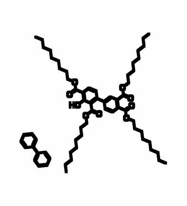 CCCCCCCCCOC(=O)c1ccc(-c2ccc(C(=O)OCCCCCCCCC)c(O)c2C(=O)OCCCCCCCCC)cc1C(=O)OCCCCCCCCC.c1ccc(-c2ccccc2)cc1